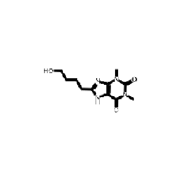 Cn1c(=O)c2[nH]c(CCCCO)nc2n(C)c1=O